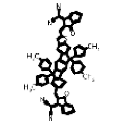 Cc1ccc(C2(c3ccc(C)cc3)c3cc(/C=C4\C(=O)c5ccccc5C4=C(C#N)C#N)ccc3-c3cc4c(cc32)-c2cc3cc(/C=C5\C(=O)c6ccccc6C5=C(C#N)C#N)sc3cc2C4(c2ccc(C)cc2)c2ccc(C)cc2)cc1